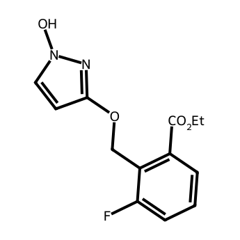 CCOC(=O)c1cccc(F)c1COc1ccn(O)n1